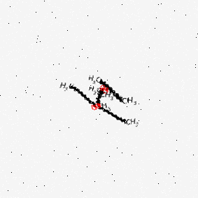 CCCCCCCCCC(CCCCCC)OC(=O)C(C)(C)CCCCCC.CCCCCCCCCCCCCCOC(=O)CCCCCCCCCCCCC